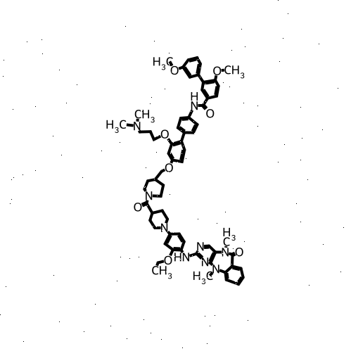 CCOc1cc(N2CCC(C(=O)N3CCC(COc4ccc(-c5ccc(NC(=O)c6ccc(OC)c(-c7cccc(OC)c7)c6)cc5)c(OCCCN(C)C)c4)CC3)CC2)ccc1Nc1ncc2c(n1)N(C)c1ccccc1C(=O)N2C